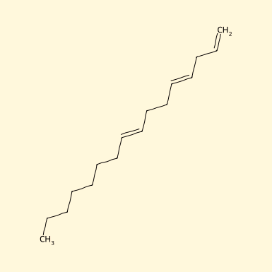 C=CCC=CCCC=CCCCCCCC